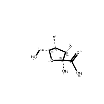 C[C@H]1[C@@H](CO)O[C@](O)(C(=O)O)[C@H]1C